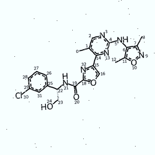 Cc1cnc(Nc2c(C)noc2C)nc1-c1coc(C(=O)N[C@H](CO)c2cccc(Cl)c2)n1